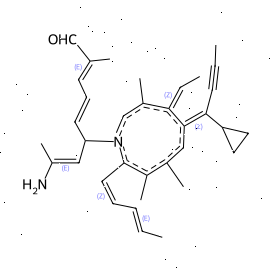 CC#C/C(=c1/cc(C)c(C)c(/C=C\C=C\C)n(C(C=C/C=C(\C)C=O)/C=C(\C)N)cc(C)/c1=C/C)C1CC1